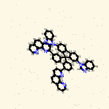 c1cc(-c2ccc3ccc4cccnc4c3n2)cc(C2(c3cccc(-c4ccc5ccc6cccnc6c5n4)c3)c3cc(-n4cnc5ccccc54)ccc3-c3ccc(-n4cnc5ccccc54)cc32)c1